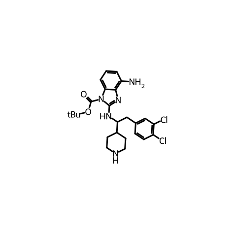 CC(C)(C)OC(=O)n1c(NC(Cc2ccc(Cl)c(Cl)c2)C2CCNCC2)nc2c(N)cccc21